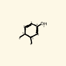 CC1C=CC(O)=CC1C